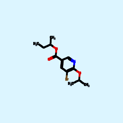 CCC(C)OC(=O)c1cnc(OC(C)C)c(Br)c1